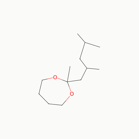 CC(C)CC(C)CC1(C)OCCCCO1